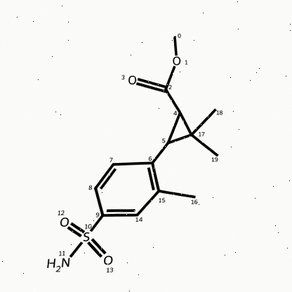 COC(=O)C1C(c2ccc(S(N)(=O)=O)cc2C)C1(C)C